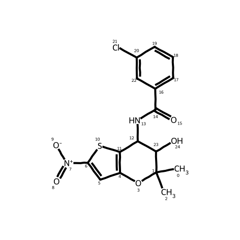 CC1(C)Oc2cc([N+](=O)[O-])sc2C(NC(=O)c2cccc(Cl)c2)C1O